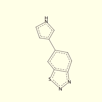 c1cc(-c2ccc3nnsc3c2)c[nH]1